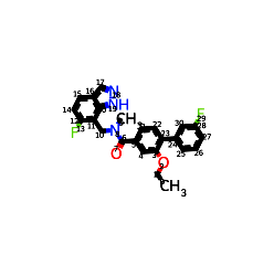 CCOc1cc(C(=O)N(C)Cc2c(F)ccc3cn[nH]c23)ccc1-c1cccc(F)c1